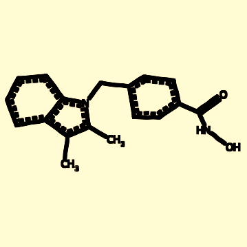 Cc1c(C)n(Cc2ccc(C(=O)NO)cc2)c2ccccc12